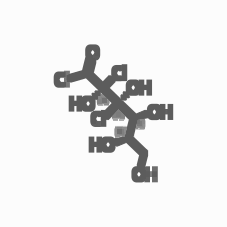 O=C(Cl)[C@@](O)(Cl)[C@](O)(Cl)[C@@H](O)[C@H](O)CO